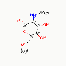 O=S(=O)(O)N[C@H]1[C@H](O)[C@@H](O)[C@H](COS(=O)(=O)O)O[C@@H]1O